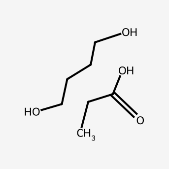 CCC(=O)O.OCCCCO